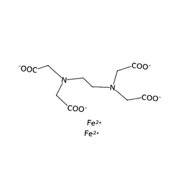 O=C([O-])CN(CCN(CC(=O)[O-])CC(=O)[O-])CC(=O)[O-].[Fe+2].[Fe+2]